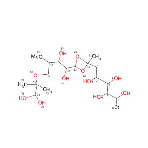 CCC(O)C(O)C(O)C(O)CC1(C)OC(C(O)C(O)C(COC(C)(C)C(O)O)OC)O1